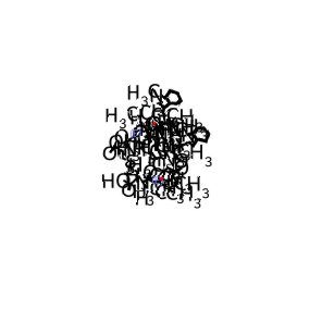 CN[C@H](C(=O)N[C@H](C(=O)N(C)[C@H](/C=C(\C)C(=O)N[C@@H](CSSCC(NC(=O)/C(C)=C/[C@H](C(C)C)N(C)C(=O)[C@@H](NC(=O)[C@@H](NC)C(C)(C)c1cc2ccccc2n1C)C(C)(C)C)C(=O)O)C(=O)O)C(C)C)C(C)(C)C)C(C)(C)c1cn(C)c2ccccc12